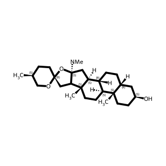 CN[C@]12C[C@H]3[C@@H]4CC[C@@H]5C[C@@H](O)CC[C@]5(C)[C@H]4CC[C@]3(C)C1C[C@@]1(CC[C@H](C)CO1)O2